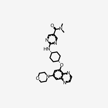 CN(C)C(=O)c1cnc(N[C@H]2CC[C@@H](Oc3cc(N4CCOCC4)cc4nccnc34)CC2)nc1